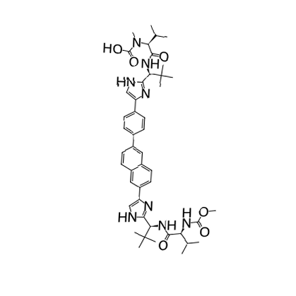 COC(=O)N[C@H](C(=O)N[C@H](c1nc(-c2ccc3cc(-c4ccc(-c5c[nH]c([C@@H](NC(=O)[C@H](C(C)C)N(C)C(=O)O)C(C)(C)C)n5)cc4)ccc3c2)c[nH]1)C(C)(C)C)C(C)C